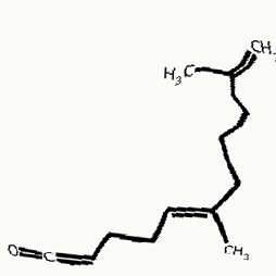 C=C(C)CCCC(C)=CCCC=C=O